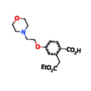 CCOC(=O)Cc1cc(OCCN2CCOCC2)ccc1C(=O)O